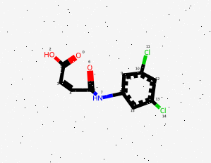 O=C(O)/C=C\C(=O)Nc1cc(Cl)cc(Cl)c1